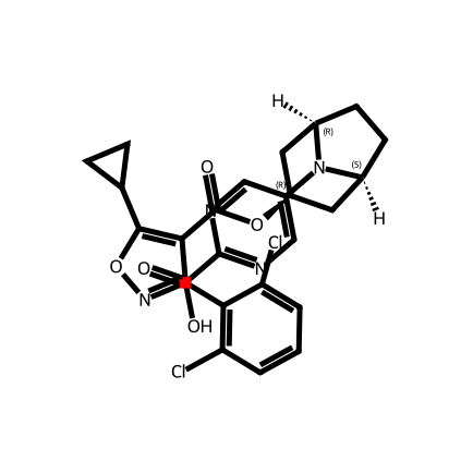 O=C(O)c1ncc(N2[C@@H]3CC[C@H]2C[C@@H](OC(=O)c2c(-c4c(Cl)cccc4Cl)noc2C2CC2)C3)cn1